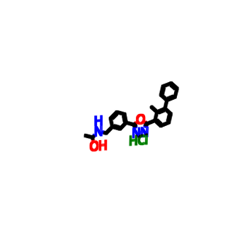 Cc1c(-c2ccccc2)cccc1-c1nnc(-c2cccc(CNC(C)O)c2)o1.Cl